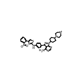 CN1CCN(C2CCC(n3nc(-c4ccc(Nc5nc(-c6ccccc6[N+](=O)[O-])cs5)cc4)c4c(N)ncnc43)CC2)CC1